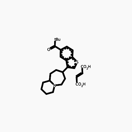 CC(C)(C)C(=O)c1ccc2scc(C3CCC4CCCCN4CC3)c2c1.O=C(O)/C=C/C(=O)O